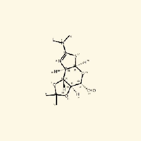 CN(C)C1=N[C@@H]2[C@H]3OC(C)(C)O[C@@H]3[C@@H](C=O)O[C@@H]2S1